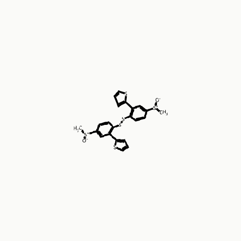 C[S+]([O-])c1ccc(SSc2ccc([S+](C)[O-])cc2-c2cccs2)c(-c2cccs2)c1